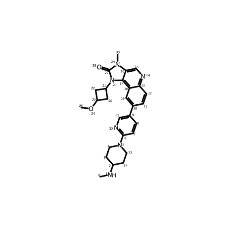 CNC1CCN(c2ccc(-c3ccc4ncc5c(c4c3)n(C3CC(OC)C3)c(=O)n5C)cn2)CC1